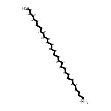 NCCCCCCCCCCCCCCCCCCCCCCCCCCCCCCCS